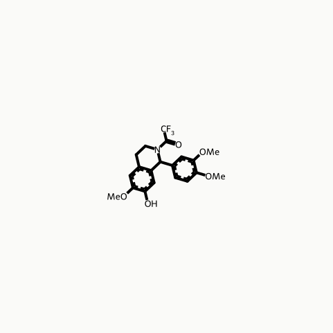 COc1cc2c(cc1O)C(c1ccc(OC)c(OC)c1)N(C(=O)C(F)(F)F)CC2